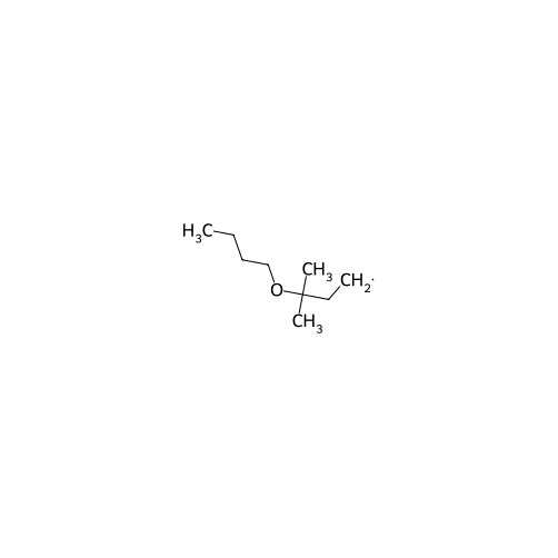 [CH2]CC(C)(C)OCCCC